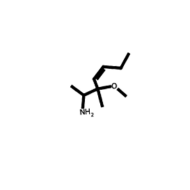 CC/C=C\C(C)(OC)C(C)N